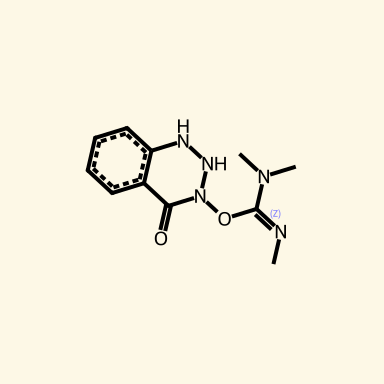 C/N=C(\ON1NNc2ccccc2C1=O)N(C)C